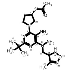 CC(=O)S[C@@H]1CCN(c2nc(C(C)(C)C)nc(N(N)CC3NON=C3C)c2N)C1